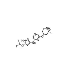 CC1(C)C[C@@H](Oc2cncc(Nc3cc(OC(F)F)[nH]n3)n2)CCN1